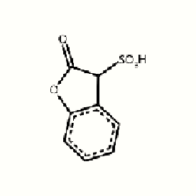 O=C1Oc2ccccc2C1S(=O)(=O)O